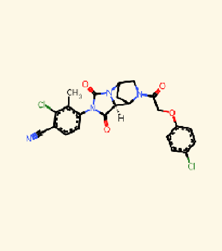 Cc1c(N2C(=O)[C@@H]3C4CC(CN4C(=O)COc4ccc(Cl)cc4)N3C2=O)ccc(C#N)c1Cl